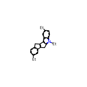 CCc1ccc2c(c1)C1=C(C2)c2c(n(CC)c3ccc(CC)cc23)C1